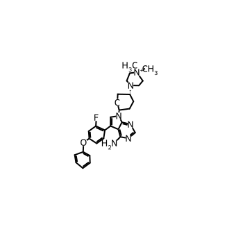 C[N+]1(C)CCN([C@H]2CC[C@H](n3cc(-c4ccc(Oc5ccccc5)cc4F)c4c(N)ncnc43)CC2)CC1